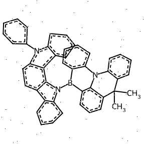 CC1(C)c2ccccc2N2c3ccccc3B(n3c4ccccc4c4ccc5c(c6ccccc6n5-c5ccccc5)c43)c3cccc1c32